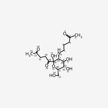 CC(=O)CCCN[C@H]1[C@@H](O)[C@H](O)[C@@H](CO)OC1(O)C(=O)CCC(C)=O